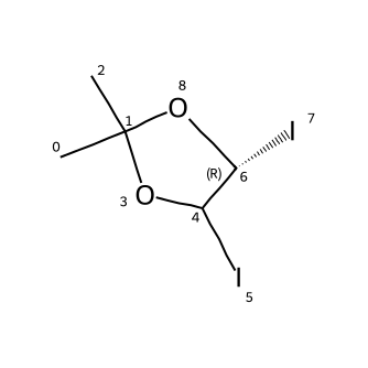 CC1(C)OC(I)[C@@H](I)O1